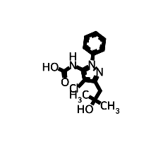 CC(C)(O)Cc1nn(-c2ccccc2)c(NC(=O)O)c1Cl